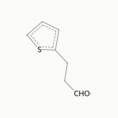 O=[C]CCc1cccs1